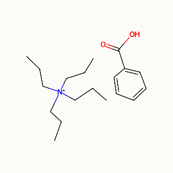 CCC[N+](CCC)(CCC)CCC.O=C(O)c1ccccc1